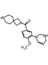 COc1ccc(C(=O)N2CC3(CCNCC3)C2)cc1N1C=CCNC1